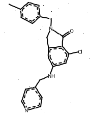 Cc1ccc(CN2Cc3cc(NCc4ccncc4)cc(Cl)c3C2=O)cc1